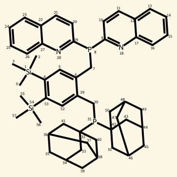 C[Si](C)(C)c1cc(CP(c2ccc3ccccc3n2)c2ccc3ccccc3n2)c(CP(C23CC4CC(CC(C4)C2)C3)C23CC4CC(CC(C4)C2)C3)cc1[Si](C)(C)C